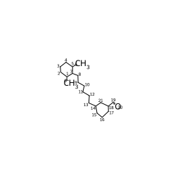 CC1CCCC(C)C1CCCCCCC1CCCC(C=O)C1